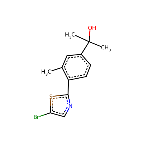 Cc1cc(C(C)(C)O)ccc1-c1ncc(Br)s1